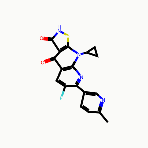 Cc1ccc(-c2nc3c(cc2F)c(=O)c2c(=O)[nH]sc2n3C2CC2)cn1